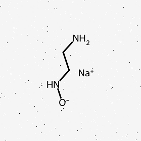 NCCN[O-].[Na+]